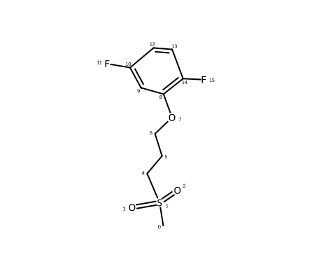 CS(=O)(=O)CCCOc1cc(F)ccc1F